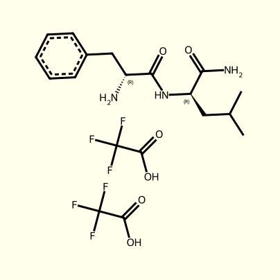 CC(C)C[C@@H](NC(=O)[C@H](N)Cc1ccccc1)C(N)=O.O=C(O)C(F)(F)F.O=C(O)C(F)(F)F